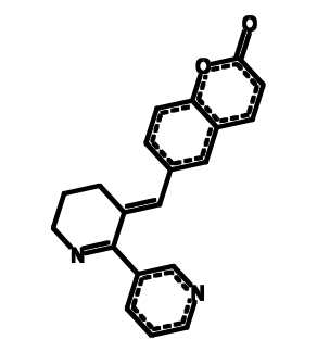 O=c1ccc2cc(C=C3CCCN=C3c3cccnc3)ccc2o1